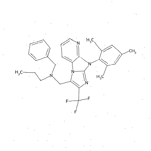 CCCN(Cc1ccccc1)Cc1c(C(F)(F)F)nc2n(-c3c(C)cc(C)cc3C)c3ncccc3n12